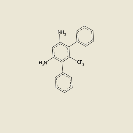 Nc1cc(N)c(-c2ccccc2)c(C(F)(F)F)c1-c1ccccc1